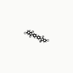 O=C1c2ccc(Cl)cc2C(=O)N1c1ccc(-c2ccc(N3C(=O)c4ccc(Cl)cc4C3=O)cc2)cc1